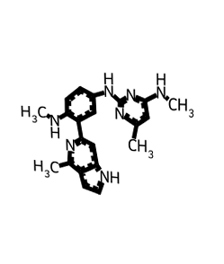 CNc1cc(C)nc(Nc2ccc(NC)c(-c3cc4[nH]ccc4c(C)n3)c2)n1